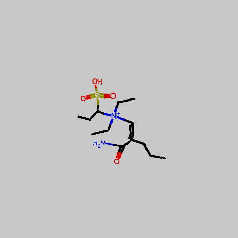 CCCC(=C[N+](CC)(CC)C(CC)S(=O)(=O)O)C(N)=O